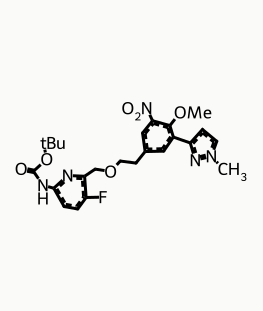 COc1c(-c2ccn(C)n2)cc(CCOCc2nc(NC(=O)OC(C)(C)C)ccc2F)cc1[N+](=O)[O-]